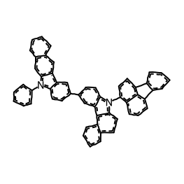 c1ccc(-n2c3ccc(-c4ccc5c(c4)c4c6ccccc6ccc4n5-c4ccc5c6c(cccc46)-c4ccccc4-5)cc3c3cc4ccccc4cc32)cc1